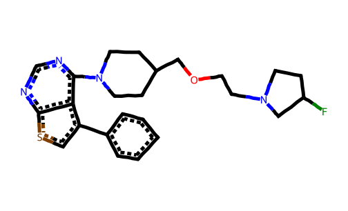 FC1CCN(CCOCC2CCN(c3ncnc4scc(-c5ccccc5)c34)CC2)C1